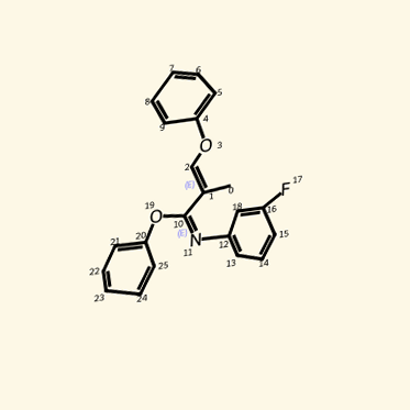 CC(=C\Oc1ccccc1)/C(=N\c1cccc(F)c1)Oc1ccccc1